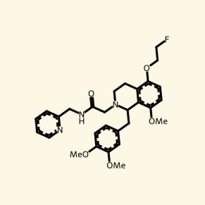 COc1ccc(CC2c3c(OC)ccc(OCCF)c3CCN2CC(=O)NCc2ccccn2)cc1OC